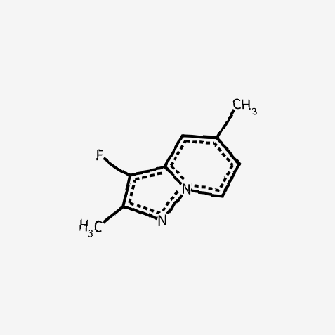 Cc1ccn2nc(C)c(F)c2c1